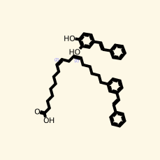 O=C(O)CCCCCCC/C=C\C/C=C\CCCCCc1cccc(C=Cc2ccccc2)c1.Oc1ccc(C=Cc2ccccc2)cc1O